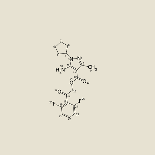 Cc1nn(C2CCCC2)c(N)c1C(=O)OCC(=O)c1c(F)cccc1F